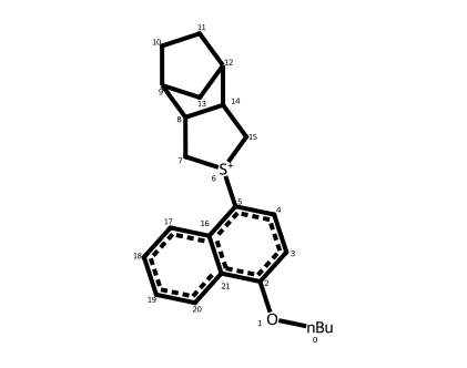 CCCCOc1ccc([S+]2CC3C4CCC(C4)C3C2)c2ccccc12